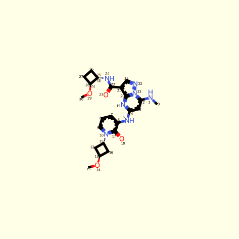 CNc1cc(Nc2cccn([C@H]3C[C@H](OC)C3)c2=O)nc2c(C(=O)N[C@H]3CC[C@@H]3OC)cnn12